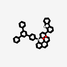 c1ccc(-c2cc(-c3ccccc3)cc(-c3ccc(N(c4ccc(-c5cccc6c5oc5ccccc56)cc4)c4cccc5ccc6ccccc6c45)cc3)c2)cc1